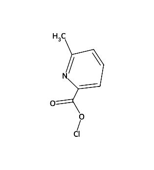 Cc1cccc(C(=O)OCl)n1